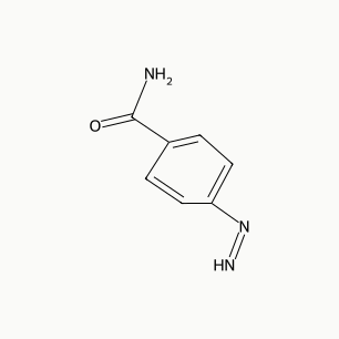 N=Nc1ccc(C(N)=O)cc1